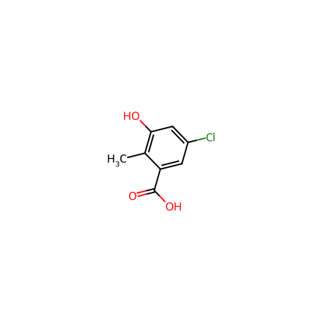 Cc1c(O)cc(Cl)cc1C(=O)O